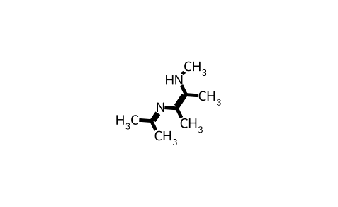 CN/C(C)=C(/C)N=C(C)C